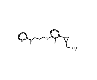 O=C(O)CC1CC1c1cccc(OCCCNc2ccccn2)c1F